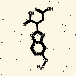 COc1ccc2oc(C(CC(O)=S)C(O)=S)nc2c1